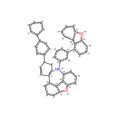 C1=CC(c2ccc(-c3ccccc3)cc2)CC=C1c1cccc2oc3cccc(Nc4cccc(-c5cccc6oc7ccccc7c56)c4)c3c12